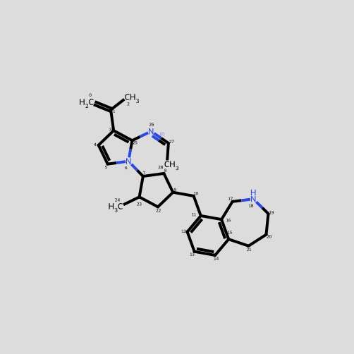 C=C(C)c1ccn(C2CC(Cc3cccc4c3CNCCC4)CC2C)c1/N=C\C